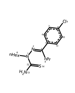 CCCCCCN(/N=C(\CCC)c1ccc(Cl)cc1)C(N)=S